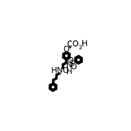 O=C(O)COc1ccc(C(CC(=O)NCCCCc2ccccc2)NS(=O)(=O)c2ccccc2)cc1